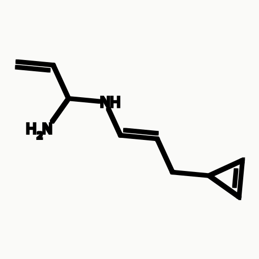 C=CC(N)N/C=C/CC1C=C1